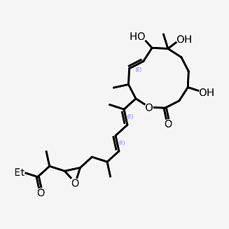 CCC(=O)C(C)C1OC1CC(C)/C=C/C=C(\C)C1OC(=O)CC(O)CCC(C)(O)C(O)/C=C/C1C